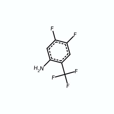 Nc1cc(F)c(F)cc1C(F)(F)F